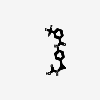 O=C(O)NC1CC1c1ccc(NC(=O)c2cccc(C(F)(F)F)c2)cc1